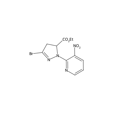 CCOC(=O)C1CC(Br)=NN1c1ncccc1[N+](=O)[O-]